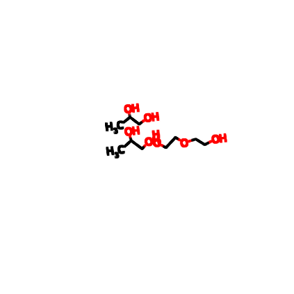 CC(O)CO.CC(O)CO.OCCOCCO